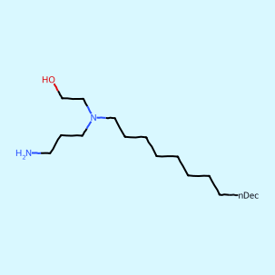 CCCCCCCCCCCCCCCCCCN(CCO)CCCN